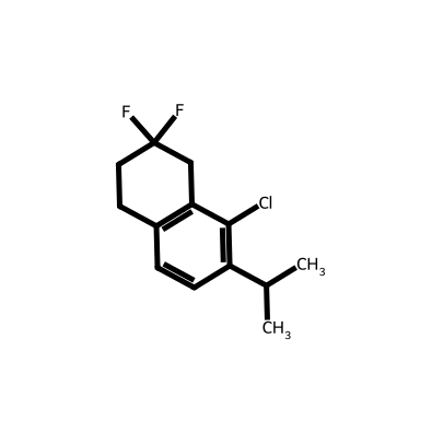 CC(C)c1ccc2c(c1Cl)CC(F)(F)CC2